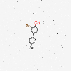 CC(=O)c1ccc(-c2ccc(O)c(Br)c2)cc1